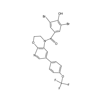 O=C(c1cc(Br)c(O)c(Br)c1)N1CCOc2ncc(-c3ccc(OC(F)(F)F)cc3)cc21